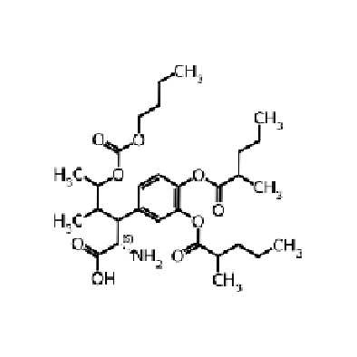 CCCCOC(=O)OC(C)C(C)C(c1ccc(OC(=O)C(C)CCC)c(OC(=O)C(C)CCC)c1)[C@H](N)C(=O)O